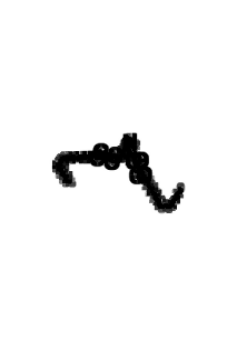 CCCCC/C=C\C/C=C\CCCCC/C=C/COC(=O)CCC(=O)OCc1cc(COC(=O)CCC(=O)OCCCCCCCC/C=C\C/C=C\CCCCC)cc(CN(C)C)c1